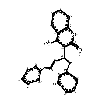 O=c1oc2ccccc2c(O)c1C(CCc1ccccc1)Cc1ccccc1